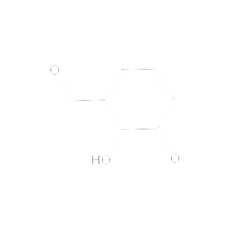 O=CC1=CC=CC(=O)C1O